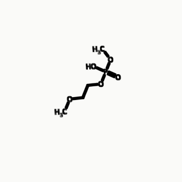 COCCOP(=O)(O)OC